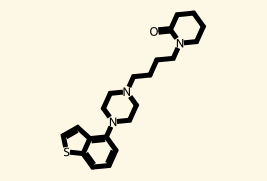 O=C1CCCCN1CCCCN1CCN(c2cccc3sccc23)CC1